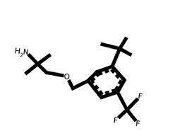 CC(C)(N)COCc1cc(C(C)(C)C)cc(C(F)(F)F)c1